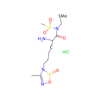 CSCN(C(=O)C(N)CCCCN1C(C)=NOS1=O)S(C)(=O)=O.Cl